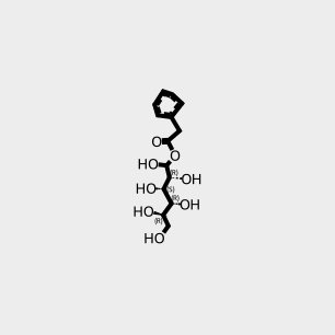 O=C(Cc1ccccc1)OC(O)[C@H](O)[C@@H](O)[C@H](O)[C@H](O)CO